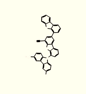 Cc1ccc2c(c1)c1cc(C)ccc1n2-c1cccc2c1oc1c(C#N)cc(-c3cccc4c3sc3ccccc34)cc12